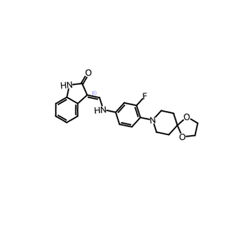 O=C1Nc2ccccc2/C1=C\Nc1ccc(N2CCC3(CC2)OCCO3)c(F)c1